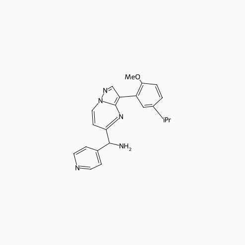 COc1ccc(C(C)C)cc1-c1cnn2ccc(C(N)c3ccncc3)nc12